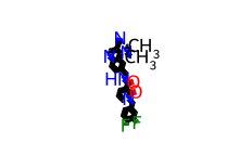 CCN(C)c1c(C#N)cnc2ccc(CNC(=O)c3cccn(Cc4ccc(F)c(F)c4)c3=O)cc12